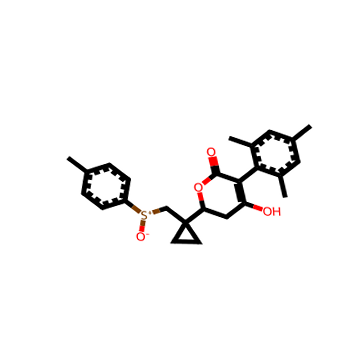 Cc1ccc([S+]([O-])CC2(C3CC(O)=C(c4c(C)cc(C)cc4C)C(=O)O3)CC2)cc1